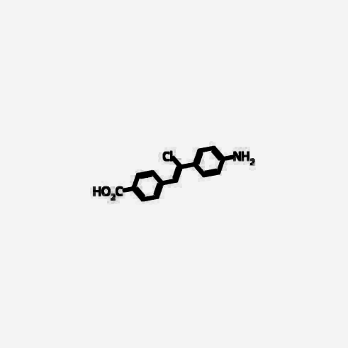 Nc1ccc(/C(Cl)=C/c2ccc(C(=O)O)cc2)cc1